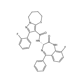 O=C(N[C@H]1N=C(c2ccccc2)c2cccc(F)c2NC1=O)c1c(-c2ccccc2F)nn2c1SCCCC2